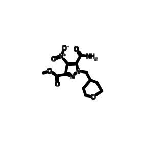 COC(=O)c1nn(CC2CCOCC2)c(C(N)=O)c1[N+](=O)[O-]